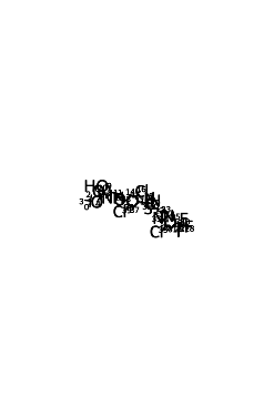 CC(C)(C)OC(=O)NC(CO)COc1cc(Cl)c(-c2nnc(-c3cn4cc(C(F)(F)F)cc(Cl)c4n3)s2)cc1Cl